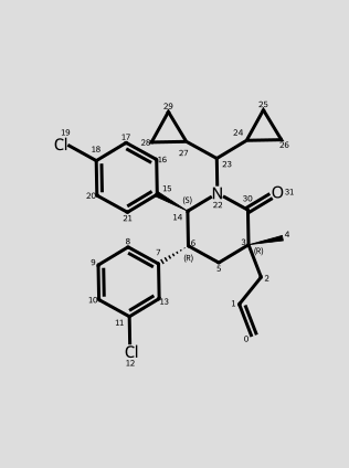 C=CC[C@]1(C)C[C@H](c2cccc(Cl)c2)[C@@H](c2ccc(Cl)cc2)N(C(C2CC2)C2CC2)C1=O